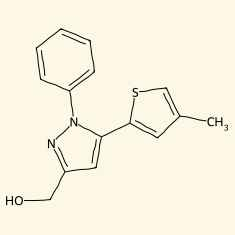 Cc1csc(-c2cc(CO)nn2-c2ccccc2)c1